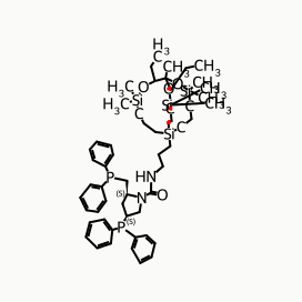 CCC1O[Si](C)(C)CCC[Si]2(CCCNC(=O)N3C[C@@H](P(c4ccccc4)c4ccccc4)C[C@H]3CP(c3ccccc3)c3ccccc3)CCC[Si](C)(C)OC(CC)C1(C)O[Si](C)(C)CCC2